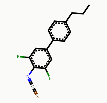 CCCc1ccc(-c2cc(F)c(N=C=S)c(F)c2)cc1